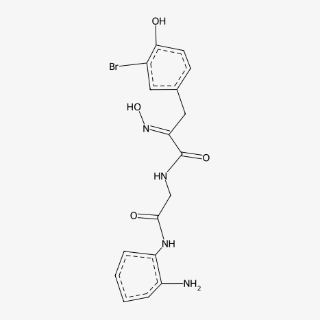 Nc1ccccc1NC(=O)CNC(=O)C(Cc1ccc(O)c(Br)c1)=NO